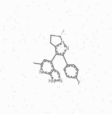 Cc1cc(-c2c(-c3ccc(F)cc3)nn3c2CC[C@@H]3C)c2cn[nH]c2n1